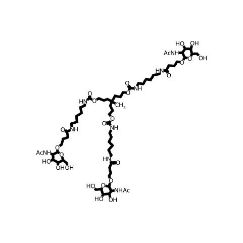 CC(=O)NC1C(OCCCC(=O)NCCCCCCNC(=O)OCCCC(C)(CCCOC(=O)NCCCCCCNC(=O)CCCOC2OC(CO)C(O)C(O)C2NC(C)=O)CCCOC(=O)NCCCCCCNC(=O)CCCOC2OC(CO)C(O)C(O)C2NC(C)=O)OC(CO)C(O)C1O